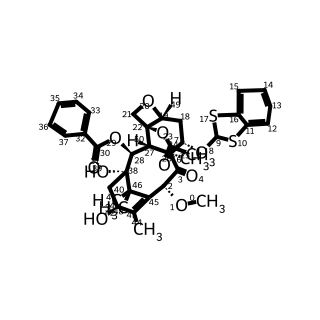 CO[C@H]1C(=O)[C@]2(C)[C@@H](OC3Sc4ccccc4S3)C[C@H]3OC[C@@]3(OC(C)=O)[C@H]2[C@H](OC(=O)c2ccccc2)[C@]2(O)C[C@H](O)C(C)=C1C2(C)C